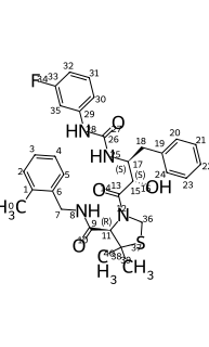 Cc1ccccc1CNC(=O)[C@H]1N(C(=O)[C@@H](O)[C@H](Cc2ccccc2)NC(=O)Nc2cccc(F)c2)CSC1(C)C